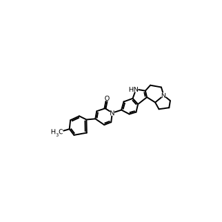 Cc1ccc(-c2ccn(-c3ccc4c5c([nH]c4c3)CCN3CCCC53)c(=O)c2)cc1